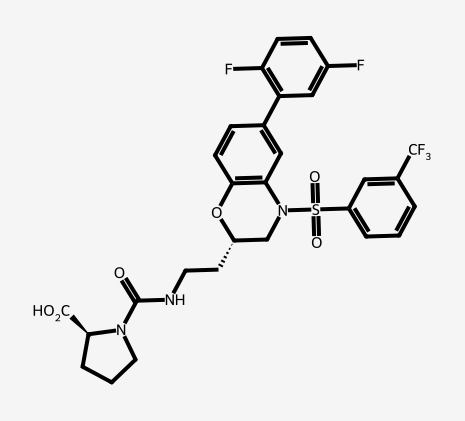 O=C(O)[C@@H]1CCCN1C(=O)NCC[C@H]1CN(S(=O)(=O)c2cccc(C(F)(F)F)c2)c2cc(-c3cc(F)ccc3F)ccc2O1